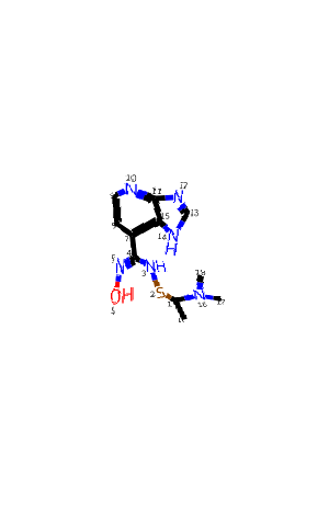 CC(SNC(=NO)c1ccnc2nc[nH]c12)N(C)C